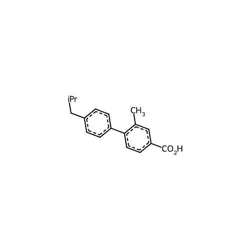 Cc1cc(C(=O)O)ccc1-c1ccc(CC(C)C)cc1